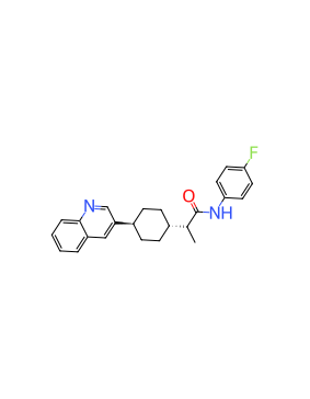 CC(C(=O)Nc1ccc(F)cc1)[C@H]1CC[C@H](c2cnc3ccccc3c2)CC1